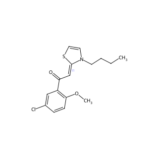 CCCCN1C=CS/C1=C\C(=O)c1cc(Cl)ccc1OC